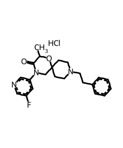 CC1OC2(CCN(CCc3ccccc3)CC2)CN(c2cncc(F)c2)C1=O.Cl